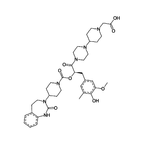 COc1cc(C[C@@H](OC(=O)N2CCC(N3CCc4ccccc4NC3=O)CC2)C(=O)N2CCN(C3CCN(CC(=O)O)CC3)CC2)cc(C)c1O